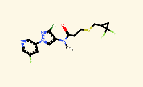 CN(C(=O)CCSCC1CC1(F)F)c1cn(-c2cncc(F)c2)nc1Cl